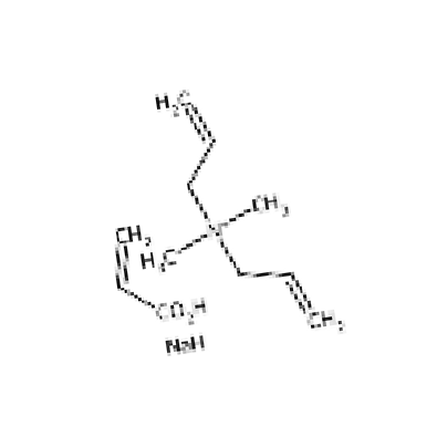 C=CC(=O)O.C=CC[N+](C)(C)CC=C.[NaH]